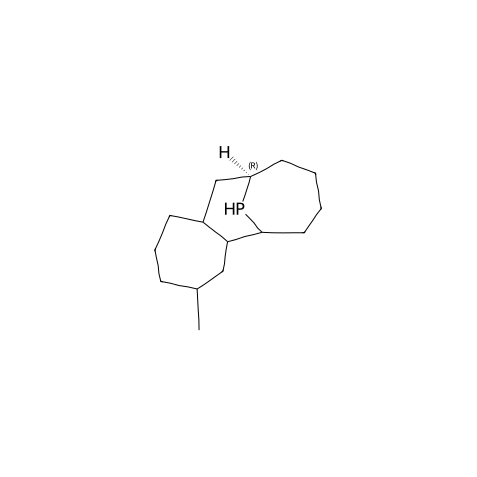 CC1CCCC2C[C@H]3CCCCC(P3)C2C1